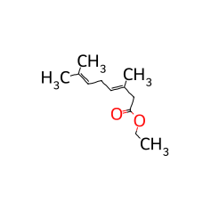 CCOC(=O)CC(C)=CCC=C(C)C